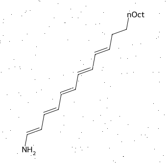 CCCCCCCCCCC=CC=CC=CC=CC=CN